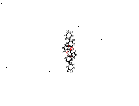 C1=C[CH]([Zr]([O]c2ccc(C3CCCCC3)cc2)([O]c2ccc(C3CCCCC3)cc2)[CH]2C=CC=C2)C=C1